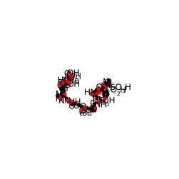 CSS[C@@H](C)O[C@@H]1C[C@H](n2cc(C#CCNC(=O)COCCOC(COc3cccc(C(=O)NCCNC(=O)c4ccc(C(=O)O)c(C5=c6cc7c(cc6Oc6cc8c(cc65)C(CS(=O)(=O)O)=CC(C)(C)N8)=NC(C)(C)C=C7CS(=O)(=O)O)c4)c3)SSC(C)(C)C)c3c(N)ncnc32)O[C@@H]1COP(=O)(O)OP(=O)(O)OP(=O)(O)O